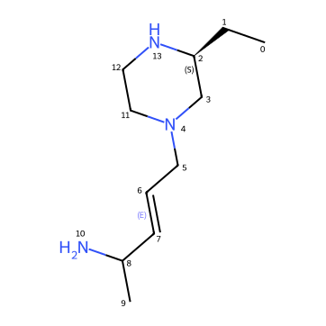 CC[C@H]1CN(C/C=C/C(C)N)CCN1